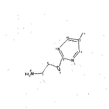 Cc1cnc(OCCN)nc1